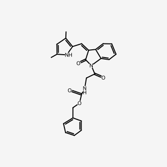 Cc1cc(C)c(/C=C2\C(=O)N(C(=O)CNC(=O)OCc3ccccc3)c3ccccc32)[nH]1